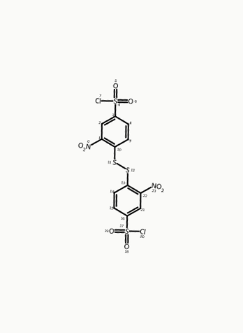 O=[N+]([O-])c1cc(S(=O)(=O)Cl)ccc1SSc1ccc(S(=O)(=O)Cl)cc1[N+](=O)[O-]